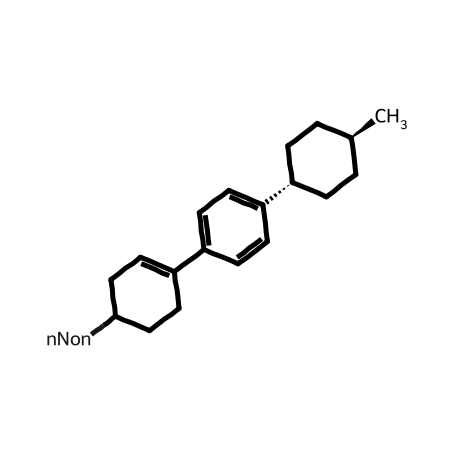 CCCCCCCCCC1CC=C(c2ccc([C@H]3CC[C@H](C)CC3)cc2)CC1